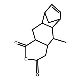 CC1C2CC(=O)OC(=O)C2CC2C3C=CC(C3)C12